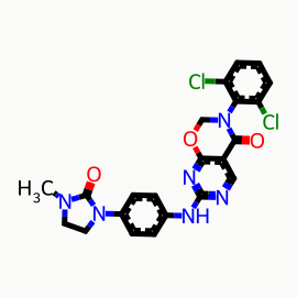 CN1CCN(c2ccc(Nc3ncc4c(n3)OCN(c3c(Cl)cccc3Cl)C4=O)cc2)C1=O